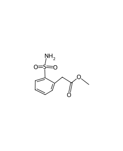 COC(=O)Cc1ccccc1S(N)(=O)=O